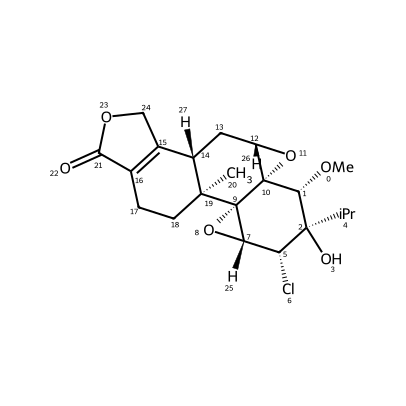 CO[C@@H]1[C@](O)(C(C)C)[C@H](Cl)[C@@H]2O[C@]23[C@]12O[C@H]2C[C@H]1C2=C(CC[C@@]13C)C(=O)OC2